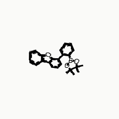 CC1(C)OB(c2ccccc2-c2cccc3c2oc2ccccc23)OC1(C)C